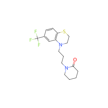 O=C1CCCCN1CCCN1CCSc2ccc(C(F)(F)F)cc21